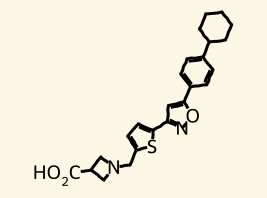 O=C(O)C1CN(Cc2ccc(-c3cc(-c4ccc(C5CCCCC5)cc4)on3)s2)C1